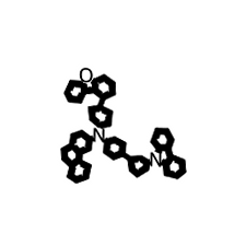 c1cc(-c2ccc(N(c3ccc(-c4cccc5oc6ccccc6c45)cc3)c3ccc4ccc5ccccc5c4c3)cc2)cc(-n2c3ccccc3c3ccccc32)c1